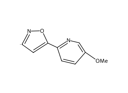 COc1ccc(-c2c[c]no2)nc1